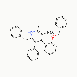 CC1=C([N+](=O)[O-])C(c2ccccc2OCc2ccccc2)C(c2ccccc2)=C(Cc2ccccc2)N1